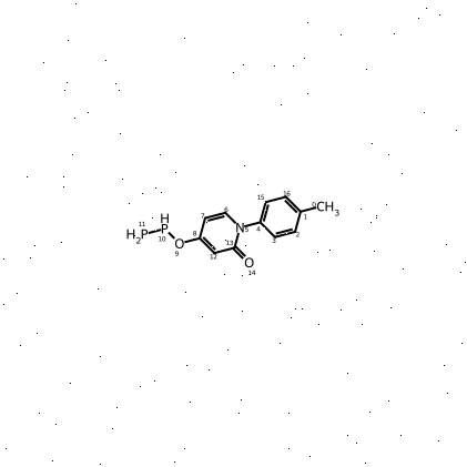 Cc1ccc(-n2ccc(OPP)cc2=O)cc1